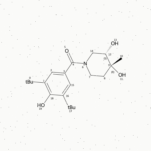 CC(C)(C)c1cc(C(=O)N2CC[C@@](C)(O)[C@@H](O)C2)cc(C(C)(C)C)c1O